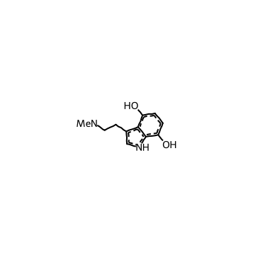 CNCCc1c[nH]c2c(O)ccc(O)c12